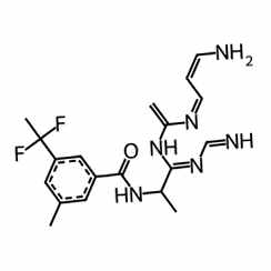 C=C(/N=C\C=C/N)N/C(=N\C=N)C(C)NC(=O)c1cc(C)cc(C(C)(F)F)c1